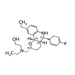 CCc1ccc2c(c1)[C@H]1O[C@@H](CN(CC)CCO)CC[C@H]1[C@H](C1C=CC(F)=CC1)N2